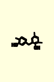 Cc1cc(C)c(O)c(Cc2ccc(C)c(O)c2)c1